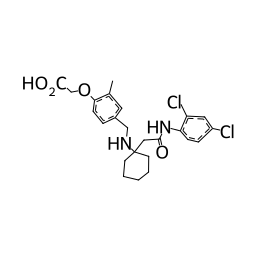 Cc1cc(CNC2(CC(=O)Nc3ccc(Cl)cc3Cl)CCCCC2)ccc1OCC(=O)O